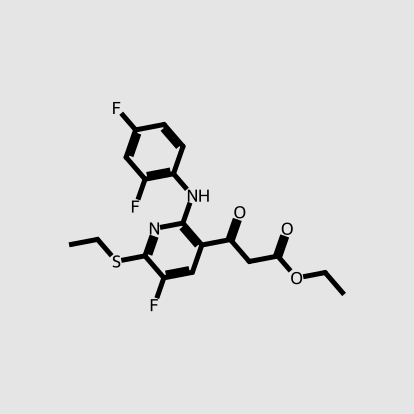 CCOC(=O)CC(=O)c1cc(F)c(SCC)nc1Nc1ccc(F)cc1F